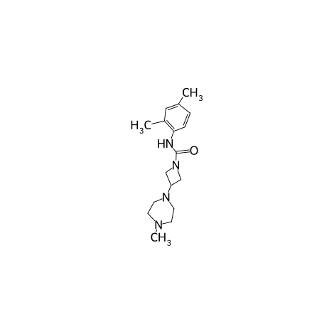 Cc1ccc(NC(=O)N2CC(N3CCN(C)CC3)C2)c(C)c1